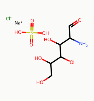 NC(C=O)C(O)C(O)C(O)CO.O=S(=O)(O)O.[Cl-].[Na+]